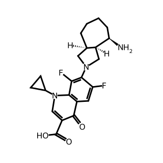 N[C@@H]1CCCC[C@@H]2CN(c3c(F)cc4c(=O)c(C(=O)O)cn(C5CC5)c4c3F)C[C@@H]21